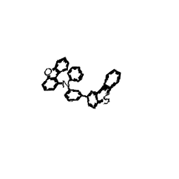 c1ccc(N(c2cccc(-c3ccc4sc5ccccc5c4c3)c2)c2cccc3oc4ccccc4c23)cc1